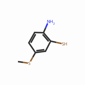 CSc1ccc(N)c(S)c1